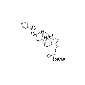 COC(=O)CC[C@@H](C)C1CC[C@H]2[C@@H]3CC[C@@H]4C[C@H](OC(=O)c5ccccc5)CC[C@]4(C)C3=CC[C@]12C